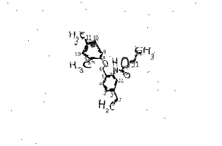 C=Cc1ccc(COc2ccc(C)cc2C)c(NC(=O)OCC)c1